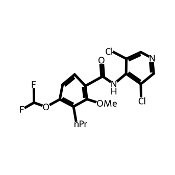 CCCc1c(OC(F)F)ccc(C(=O)Nc2c(Cl)cncc2Cl)c1OC